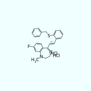 CN1CCN=C(/C=C/c2ccccc2SCc2ccccc2)c2ccc(F)cc21.Cl.Cl